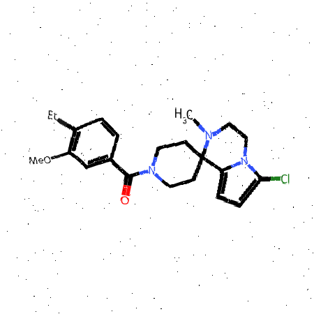 CCc1ccc(C(=O)N2CCC3(CC2)c2ccc(Cl)n2CCN3C)cc1OC